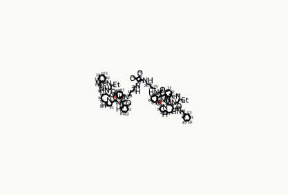 CC[C@H](NC)C(=O)N[C@@H]1C(=O)N2C(C(=O)NC(C(=O)NCCCCNc3c(NCCCCNC(=O)C(NC(=O)[C@@H]4CC[C@@H]5CC[C@H](CNCc6ccccc6)[C@H](NC(=O)[C@H](CC)NC)C(=O)N54)(c4ccccc4)c4ccccc4)c(=O)c3=O)(c3ccccc3)c3ccccc3)CC[C@@H]2CC[C@@H]1CNCc1ccccc1